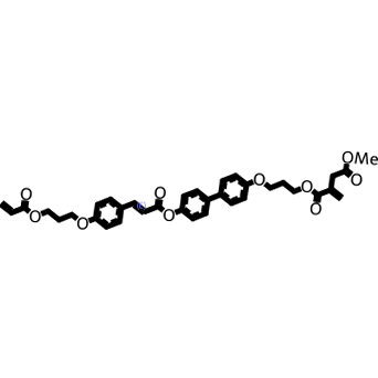 C=CC(=O)OCCCOc1ccc(/C=C/C(=O)Oc2ccc(-c3ccc(OCCCOC(=O)C(=C)CC(=O)OC)cc3)cc2)cc1